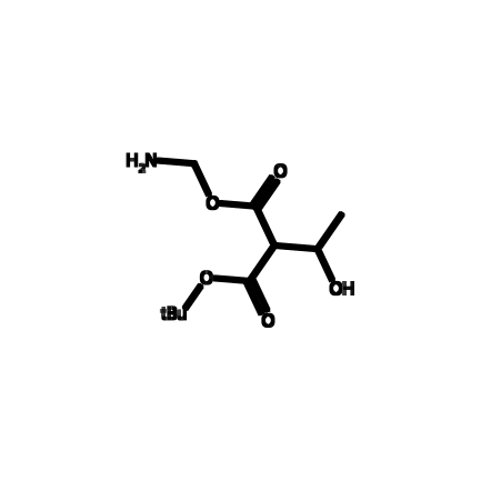 CC(O)C(C(=O)OCN)C(=O)OC(C)(C)C